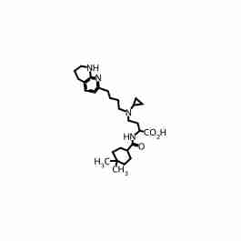 CC1(C)CCC(C(=O)NC(CCN(CCCCc2ccc3c(n2)NCCC3)C2CC2)C(=O)O)CC1